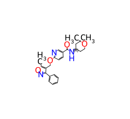 Cc1onc(-c2ccccc2)c1COc1ccc(C(=O)N[C@@H]2CCOC(C)(C)C2)cn1